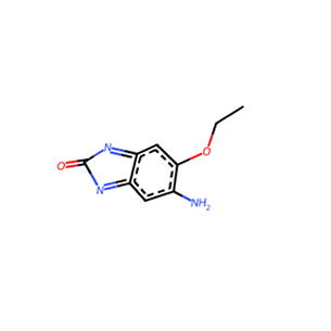 CCOc1cc2c(cc1N)=NC(=O)N=2